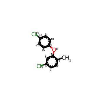 Cc1ccc(Cl)cc1Oc1ccc(Cl)cc1